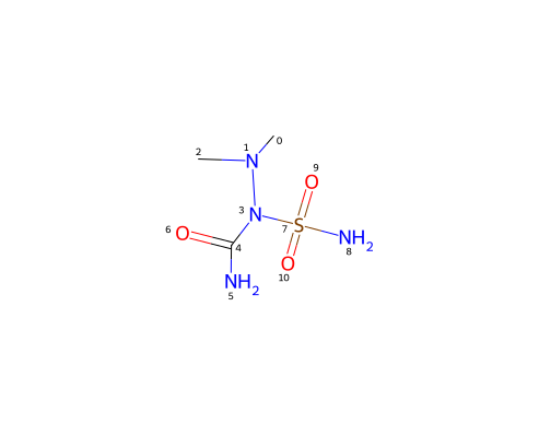 CN(C)N(C(N)=O)S(N)(=O)=O